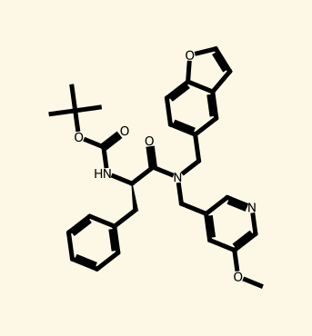 COc1cncc(CN(Cc2ccc3occc3c2)C(=O)[C@@H](Cc2ccccc2)NC(=O)OC(C)(C)C)c1